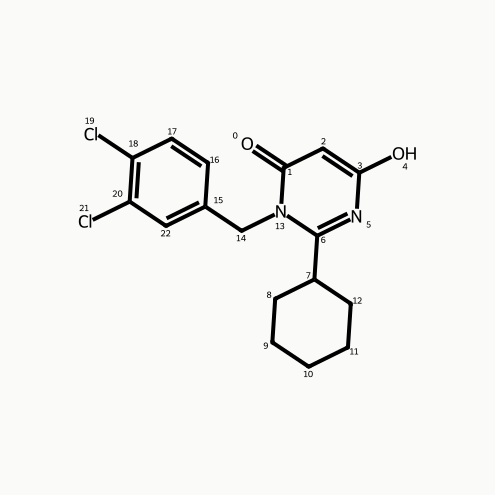 O=c1cc(O)nc(C2CCCCC2)n1Cc1ccc(Cl)c(Cl)c1